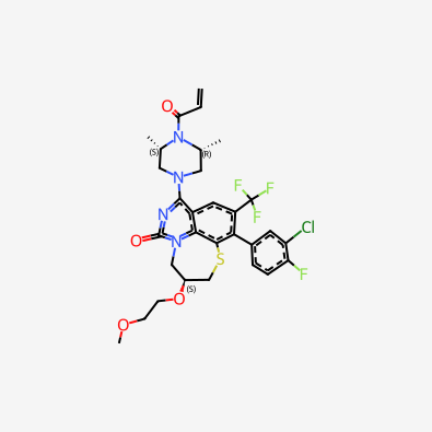 C=CC(=O)N1[C@H](C)CN(c2nc(=O)n3c4c(c(-c5ccc(F)c(Cl)c5)c(C(F)(F)F)cc24)SC[C@@H](OCCOC)C3)C[C@@H]1C